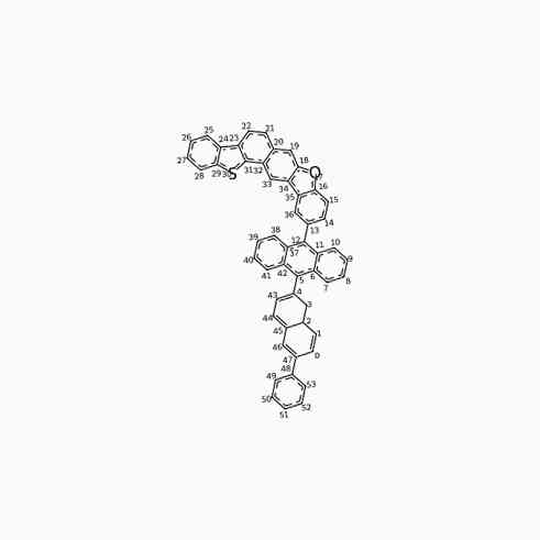 C1=CC2CC(c3c4ccccc4c(-c4ccc5oc6cc7ccc8c9ccccc9sc8c7cc6c5c4)c4ccccc34)=CC=C2C=C1c1ccccc1